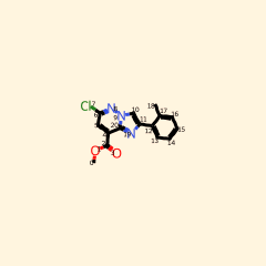 COC(=O)c1cc(Cl)nn2cc(-c3ccccc3C)nc12